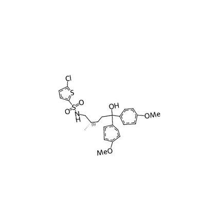 COc1ccc(C(O)(CC[C@H](C)CNS(=O)(=O)c2ccc(Cl)s2)c2ccc(OC)cc2)cc1